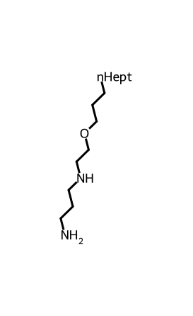 CCCCCCCCCCOCCNCCCN